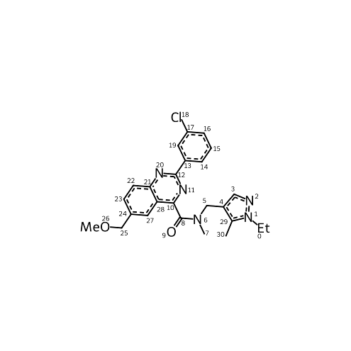 CCn1ncc(CN(C)C(=O)c2nc(-c3cccc(Cl)c3)nc3ccc(COC)cc23)c1C